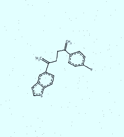 C=C(CCC(=C)c1ccc2sccc2c1)c1ccc(F)cc1